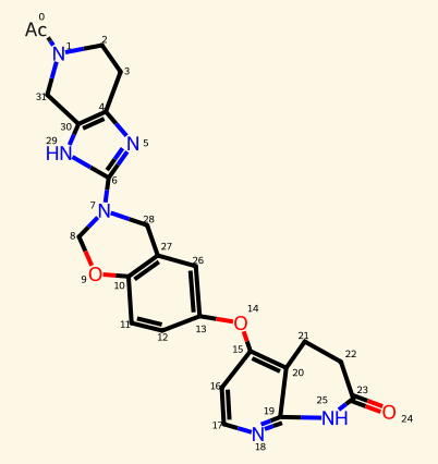 CC(=O)N1CCc2nc(N3COc4ccc(Oc5ccnc6c5CCC(=O)N6)cc4C3)[nH]c2C1